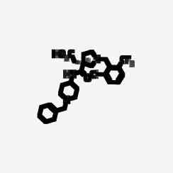 O=C(O)C[C@]1(C(=O)NC2CCN(CC3=CCCCC3)CC2)CCN(Cc2c(Cl)cccc2C(F)(F)F)C1